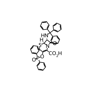 O=C(O)C1=C(OP(=O)(c2ccccc2)c2ccccc2)CS[C@H]2[C@H](NC(c3ccccc3)(c3ccccc3)c3ccccc3)C(=O)N12